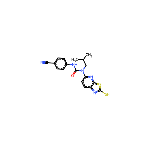 CC(C)CN(C(=O)Nc1ccc(C#N)cc1)c1ccc2nc(S)sc2n1